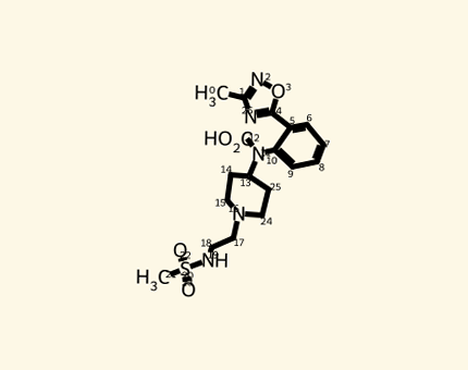 Cc1noc(-c2ccccc2N(C(=O)O)C2CCN(CCNS(C)(=O)=O)CC2)n1